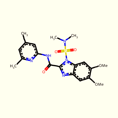 COc1cc2nc(C(=O)Nc3cc(C)cc(C)n3)n(S(=O)(=O)N(C)C)c2cc1OC